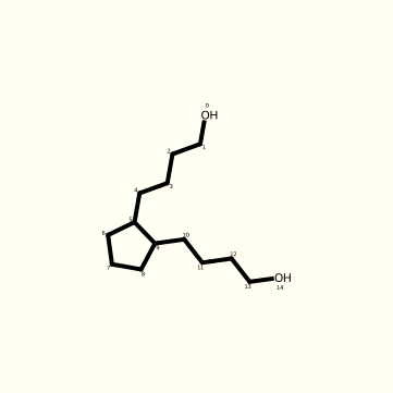 OCCCCC1CCCC1CCCCO